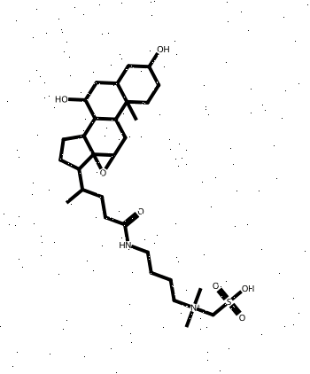 CC(CCC(=O)NCCCC[N+](C)(C)CS(=O)(=O)O)C1CCC2C3C(O)CC4CC(O)CCC4(C)C3CC3OC312